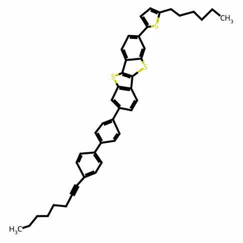 CCCCCCC#Cc1ccc(-c2ccc(-c3ccc4c(c3)sc3c5ccc(-c6ccc(CCCCCC)s6)cc5sc43)cc2)cc1